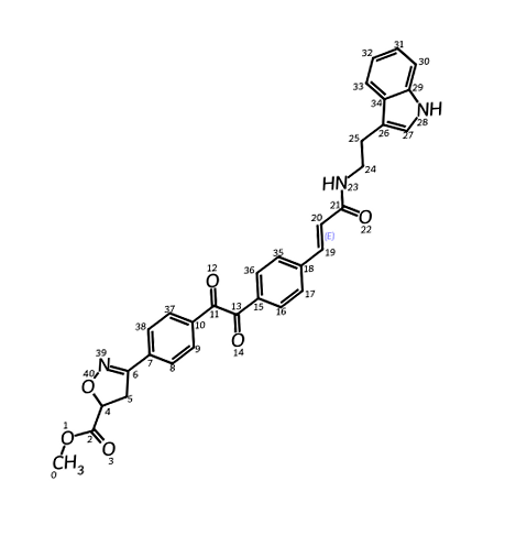 COC(=O)C1CC(c2ccc(C(=O)C(=O)c3ccc(/C=C/C(=O)NCCc4c[nH]c5ccccc45)cc3)cc2)=NO1